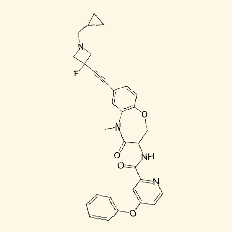 CN1C(=O)C(NC(=O)c2cc(Oc3ccccc3)ccn2)COc2ccc(C#CC3(F)CN(CC4CC4)C3)cc21